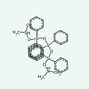 C[SiH](C)O[Si](O[Si](O[Si](O[SiH](C)C)(c1ccccc1)c1ccccc1)(c1ccccc1)c1ccccc1)(c1ccccc1)c1ccccc1